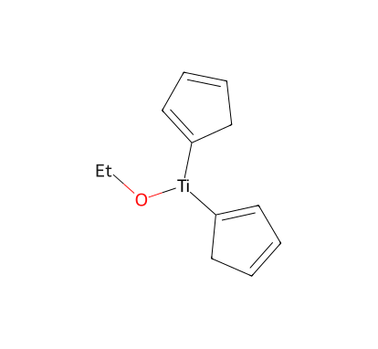 CC[O][Ti]([C]1=CC=CC1)[C]1=CC=CC1